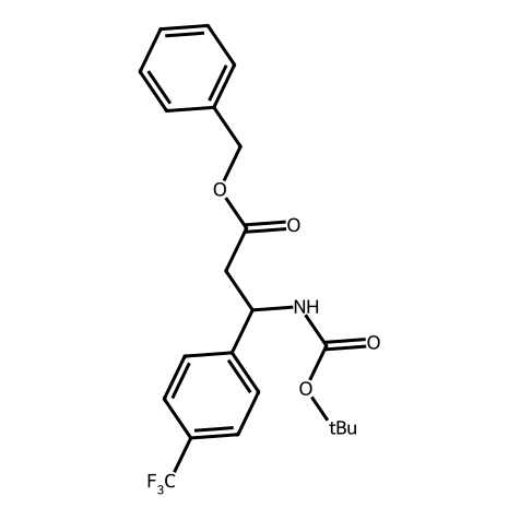 CC(C)(C)OC(=O)NC(CC(=O)OCc1ccccc1)c1ccc(C(F)(F)F)cc1